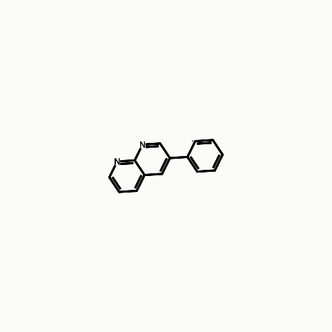 [c]1ccccc1-c1cnc2ncccc2c1